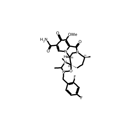 COc1c2n(cc(C(N)=O)c1=O)[C@@H]1CN(C2=O)[C@@H](C)CC[C@@]12ON(Cc1ccc(F)cc1F)C(C)N2C